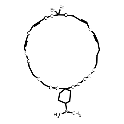 CCC1(CC)CC/C=C\C/C=C\CCCCCCCCC2(CCCCCCCC/C=C\C/C=C\CC1)CCC(N(C)C)CC2